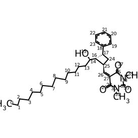 CCCCCCCCCCCCCC[C@@H](O)[C@@H]1C(c2ccccc2)C[C@H]1C=C1C(=O)N(C)C(=O)N(C)C1=O